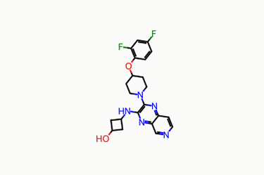 OC1CC(Nc2nc3cnccc3nc2N2CCC(Oc3ccc(F)cc3F)CC2)C1